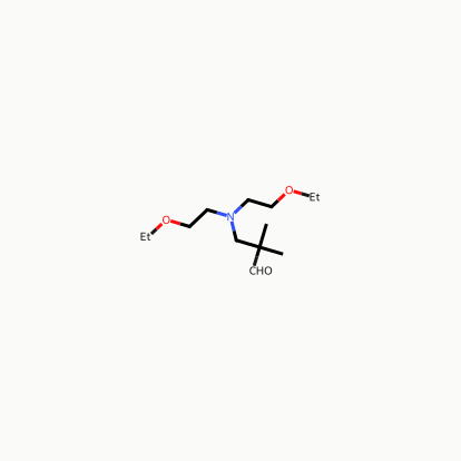 CCOCCN(CCOCC)CC(C)(C)C=O